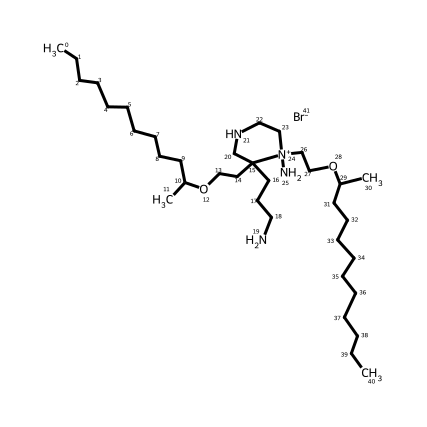 CCCCCCCCCCC(C)OCCC1(CCCN)CNCC[N+]1(N)CCOC(C)CCCCCCCCCC.[Br-]